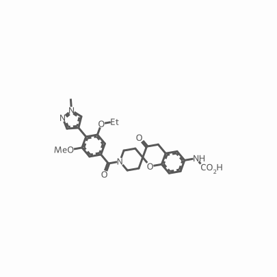 CCOc1cc(C(=O)N2CCC3(CC2)Oc2ccc(NC(=O)O)cc2CC3=O)cc(OC)c1-c1cnn(C)c1